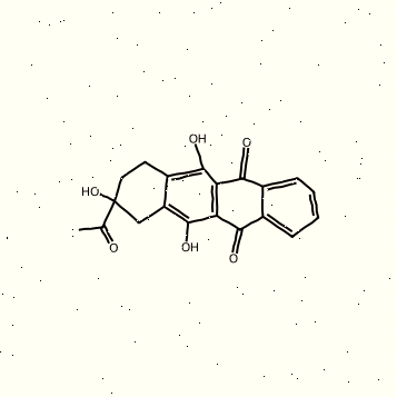 CC(=O)C1(O)CCc2c(O)c3c(c(O)c2C1)C(=O)c1ccccc1C3=O